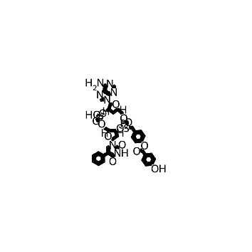 Nc1ncnc2c1ncn2[C@@H]1O[C@@H]2COP(=O)(SCc3ccc(OC(=O)c4ccc(O)cc4)cc3)O[C@H]3C[C@H](n4cc(-c5ccccc5)c(=O)[nH]c4=O)O[C@@H]3COP(=O)(O)O[C@@H]1C2